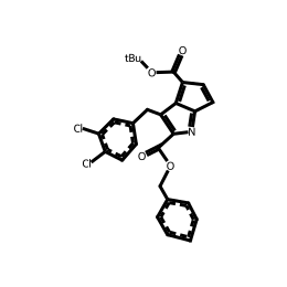 CC(C)(C)OC(=O)C1=C2C(=NC(C(=O)OCc3ccccc3)=C2Cc2ccc(Cl)c(Cl)c2)C=C1